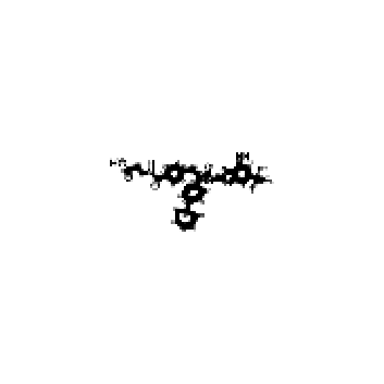 Nc1cc(C(F)(F)F)cc2nc(NC(=O)C(Cc3ccc(C(=O)NCCC(=O)O)cc3)c3ccc(C4CCCCC4)cc3)sc12